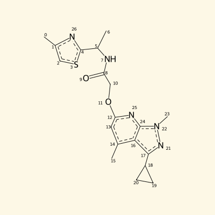 Cc1csc(C(C)NC(=O)COc2cc(C)c3c(C4CC4)nn(C)c3n2)n1